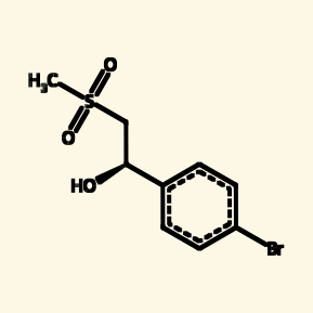 CS(=O)(=O)C[C@H](O)c1ccc(Br)cc1